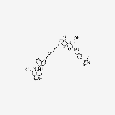 Cc1ncsc1-c1ccc(CNC(=O)[C@@H]2C[C@@H](O)CN2C(=O)C(NC(=O)COCCOCCn2ccc3c(Nc4nc(Cl)cc5nc[nH]c(=O)c45)cccc32)C(C)(C)C)cc1